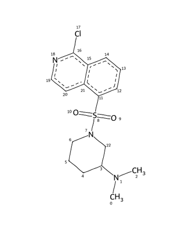 CN(C)C1CCCN(S(=O)(=O)c2cccc3c(Cl)nccc23)C1